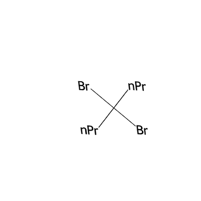 CCCC(Br)(Br)CCC